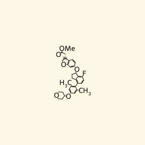 COC(=O)C[C@H]1COc2cc(OC3CCc4c(-c5c(C)cc(OC6CCOCC6)cc5C)ccc(F)c43)ccc21